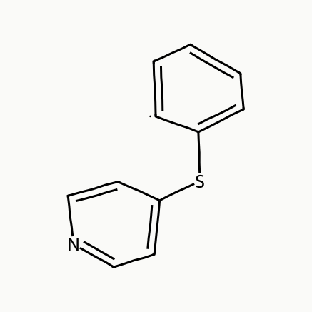 [c]1ccccc1Sc1ccncc1